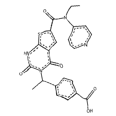 CCN(C(=O)c1cc2c(=O)n(C(C)c3ccc(C(=O)O)cc3)c(=O)[nH]c2s1)c1ccncc1